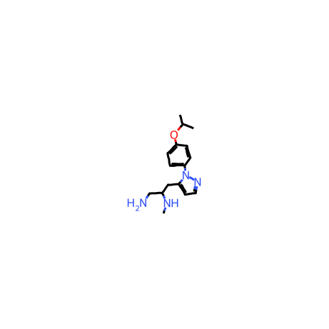 CNC(CN)Cc1ccnn1-c1ccc(OC(C)C)cc1